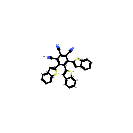 N#Cc1c(C#N)c(-c2cc3ccccc3s2)c(-c2cc3ccccc3s2)c(-c2cc3ccccc3s2)c1C#N